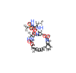 CC[C@@H]1C[C@]1(NC(=O)[C@@H]1CC2CN1C(=O)[C@H](C(C)(C)C)NC(=O)OCC(C)(C)CCCCc1cccc3c1CN(C3)C(=O)O2)C(=O)NS(=O)(=O)C1CC1